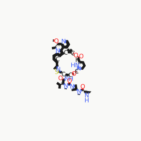 CCn1c(-c2cccnc2[C@H](C)OC)c2c3cc(ccc31)-c1csc(n1)C[C@H](NC(=O)[C@H](C(C)C)N(C)C(=O)N1CC(N(C)C(=O)[C@@H]3CN3)C1)COCN1CCC[C@H](N1)C(=O)OCC(C)(C)C2